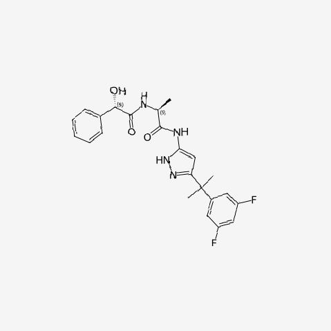 C[C@H](NC(=O)[C@@H](O)c1ccccc1)C(=O)Nc1cc(C(C)(C)c2cc(F)cc(F)c2)n[nH]1